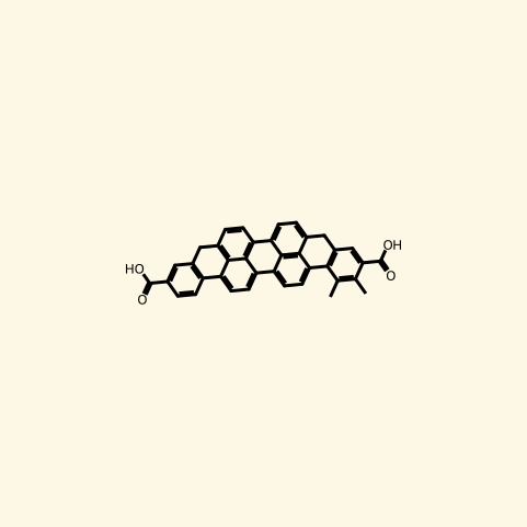 Cc1c(C(=O)O)cc2c(c1C)-c1ccc3c4ccc5c6c(ccc(c7ccc(c1c73)C2)c64)Cc1cc(C(=O)O)ccc1-5